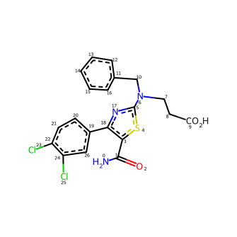 NC(=O)c1sc(N(CCC(=O)O)Cc2ccccc2)nc1-c1ccc(Cl)c(Cl)c1